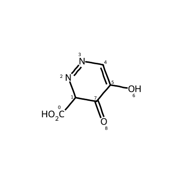 O=C(O)C1N=NC=C(O)C1=O